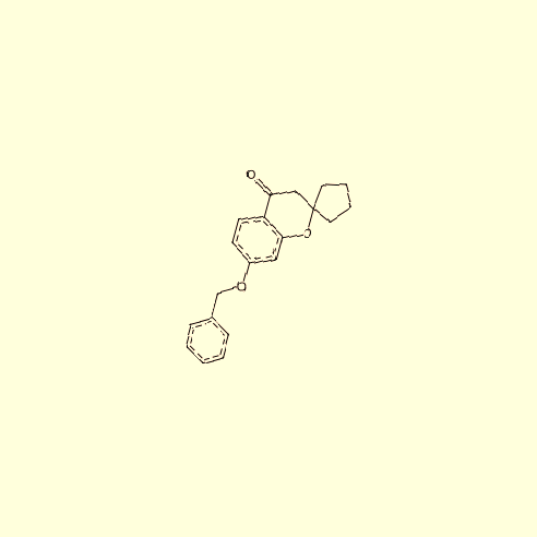 O=C1CC2(CCCC2)Oc2cc(OCc3ccccc3)ccc21